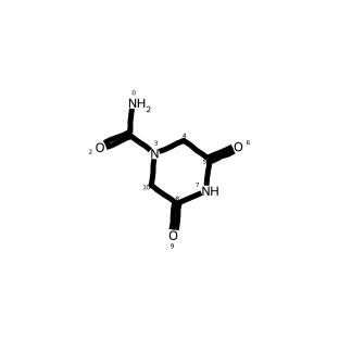 NC(=O)N1CC(=O)NC(=O)C1